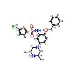 CC1CN(c2ccc(OCc3ccccc3)c(NS(=O)(=O)c3ccc(Br)s3)c2)CC(C)N1